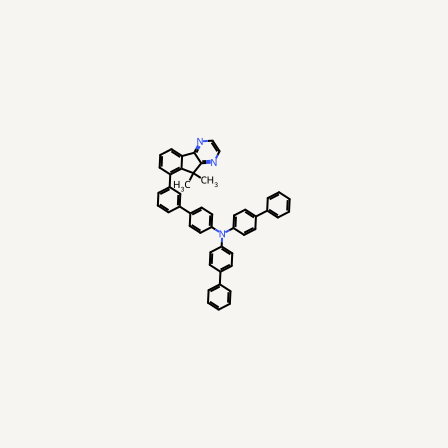 CC1(C)c2nccnc2-c2cccc(-c3cccc(-c4ccc(N(c5ccc(-c6ccccc6)cc5)c5ccc(-c6ccccc6)cc5)cc4)c3)c21